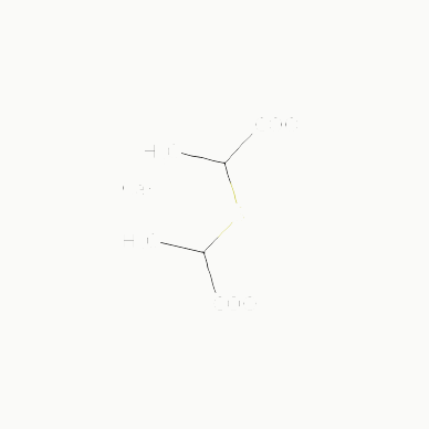 CC(SC(C)C(=O)[O-])C(=O)[O-].[Ca+2]